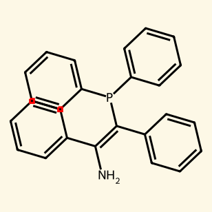 N/C(=C(\c1ccccc1)P(c1ccccc1)c1ccccc1)c1ccccc1